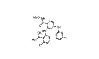 CONC(=O)c1cnc(Nc2cccc(F)n2)cc1Nc1cccc(Cl)c1N(C)SC